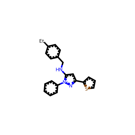 CCc1ccc(CNc2cc(-c3cccs3)nn2-c2ccccc2)cc1